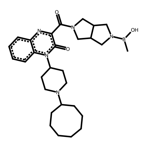 CB(O)N1CC2CN(C(=O)c3nc4ccccc4n(C4CCN(C5CCCCCCC5)CC4)c3=O)CC2C1